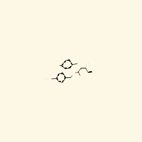 C=C[C@H](O)[C@@H](Cc1ccc(F)cc1)C(C)OCc1ccc(OC)cc1